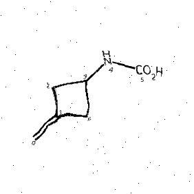 C=C1CC(NC(=O)O)C1